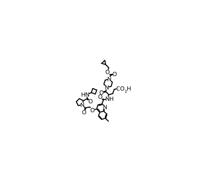 Cc1ccc2c(OCC(=O)N3CCCC3C(=O)NC3CCC3)cc(C(=O)NC(CCC(=O)O)C(=O)N3CCN(C(=O)OCC4CC4)CC3)nc2c1